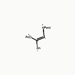 CCCCCC=C(CCC)OC(C)=O